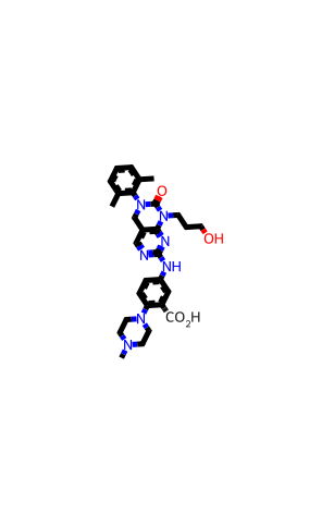 Cc1cccc(C)c1N1Cc2cnc(Nc3ccc(N4CCN(C)CC4)c(C(=O)O)c3)nc2N(CCCO)C1=O